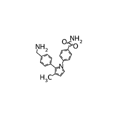 Cc1ccn(-c2ccc(S(N)(=O)=O)cc2)c1-c1ccc(CN)cc1